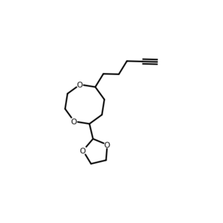 C#CCCCC1CCC(C2OCCO2)OCCO1